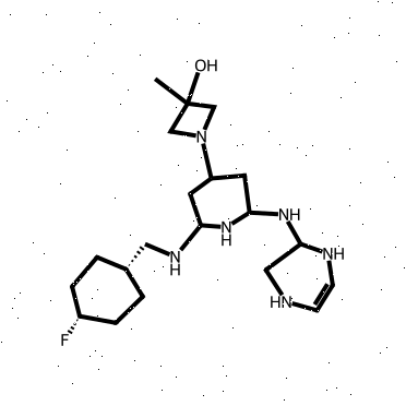 CC1(O)CN(C2CC(NC[C@H]3CC[C@@H](F)CC3)NC(NC3CNC=CN3)C2)C1